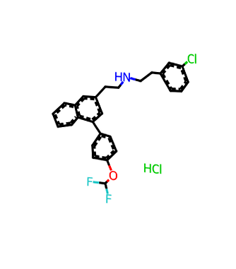 Cl.FC(F)Oc1ccc(-c2cc(CCNCCc3cccc(Cl)c3)cc3ccccc23)cc1